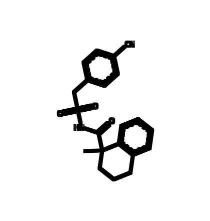 CC1(C(=O)NS(=O)(=O)Cc2ccc(C#N)cc2)CCCc2ccccc21